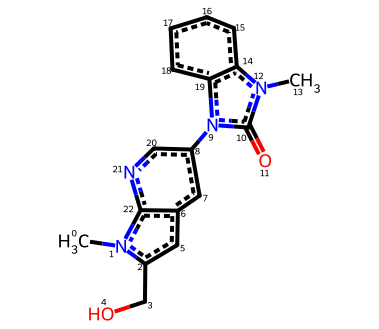 Cn1c(CO)cc2cc(-n3c(=O)n(C)c4ccccc43)cnc21